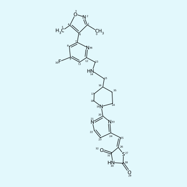 Cc1noc(C)c1-c1cc(F)cc(CNCC2CCN(c3nccc(C=C4SC(=O)NC4=O)n3)CC2)n1